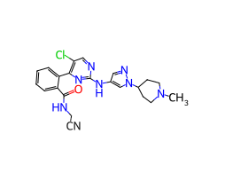 CN1CCC(n2cc(Nc3ncc(Cl)c(-c4ccccc4C(=O)NCC#N)n3)cn2)CC1